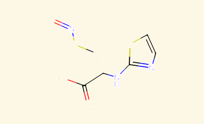 O=NSC[C@H](Nc1nccs1)C(=O)O